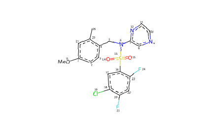 COc1ccc(CN(c2cnccn2)S(=O)(=O)c2cc(Cl)c(F)cc2F)c(C)c1